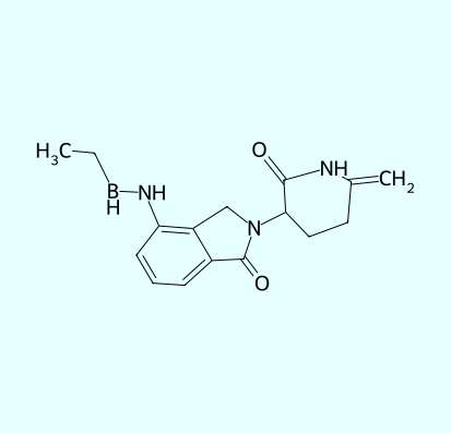 C=C1CCC(N2Cc3c(NBCC)cccc3C2=O)C(=O)N1